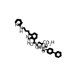 CN(CC(NS(=O)(=O)c1ccc(-c2ccccc2)cc1)C(=O)O)C(=O)c1cccc2c(CCCNc3ccccn3)n[nH]c12